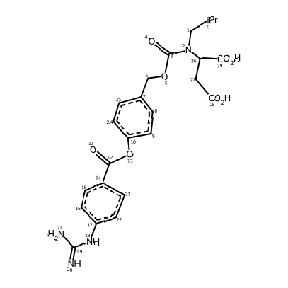 CC(C)CN(C(=O)OCc1ccc(OC(=O)c2ccc(NC(=N)N)cc2)cc1)C(CC(=O)O)C(=O)O